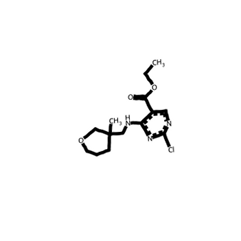 CCOC(=O)c1cnc(Cl)nc1NCC1(C)CCCOC1